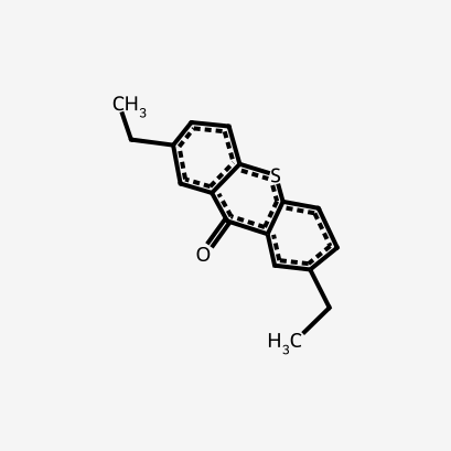 CCc1ccc2sc3ccc(CC)cc3c(=O)c2c1